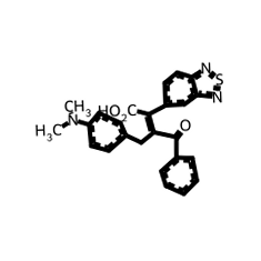 CN(C)c1ccc(CC(C(=O)c2ccccc2)=C(C(=O)O)c2ccc3nsnc3c2)cc1